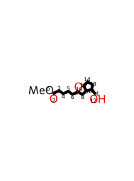 COC(=O)CCCCC1CC2C(CO)CCC2O1